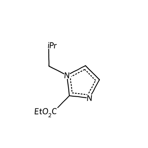 CCOC(=O)c1nccn1CC(C)C